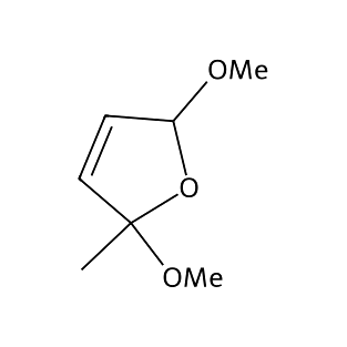 COC1C=CC(C)(OC)O1